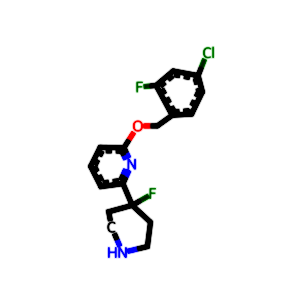 Fc1cc(Cl)ccc1COc1cccc(C2(F)CCNCC2)n1